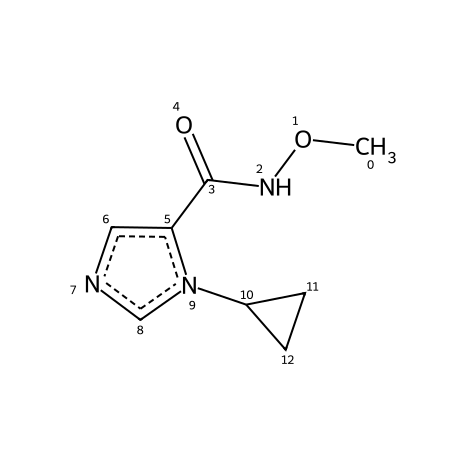 CONC(=O)c1cncn1C1CC1